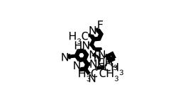 Cc1nc(F)ccc1[C@H](Nc1cc(C#N)c2ncc(C#N)c(NC(C)C(C)(C)C)c2c1)c1cn(C23CC(C2)C3)nn1